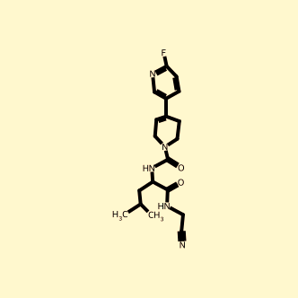 CC(C)CC(NC(=O)N1CC=C(c2ccc(F)nc2)CC1)C(=O)NCC#N